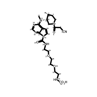 C[C@@H]1CCN(C(=O)CC#N)C[C@@H]1N(C)c1ncnc2c1ccn2C(=O)NCCOCCOCCNC(=O)O